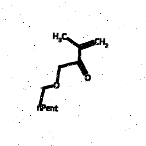 [CH2]CCCC[CH]OCC(=O)C(=C)C